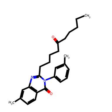 CCCCCC(=O)CCCCc1nc2cc(C)ccc2c(=O)n1-c1cccc(C)c1